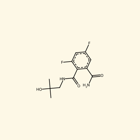 CC(C)(O)CNC(=O)c1c(F)cc(F)cc1C(N)=O